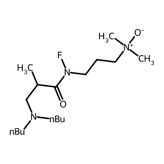 CCCCN(CCCC)CC(C)C(=O)N(F)CCC[N+](C)(C)[O-]